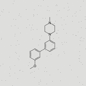 COc1cccc(-c2c[c]cc(N3CCN(C)CC3)c2)c1